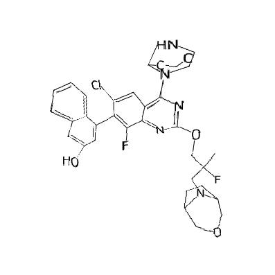 CC(F)(COc1nc(N2CC3CCCC2CN3)c2cc(Cl)c(-c3cc(O)cc4ccccc34)c(F)c2n1)CN1C2CCC1COC2